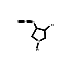 CC(C)N1CC(O)C(N=[N+]=[N-])C1